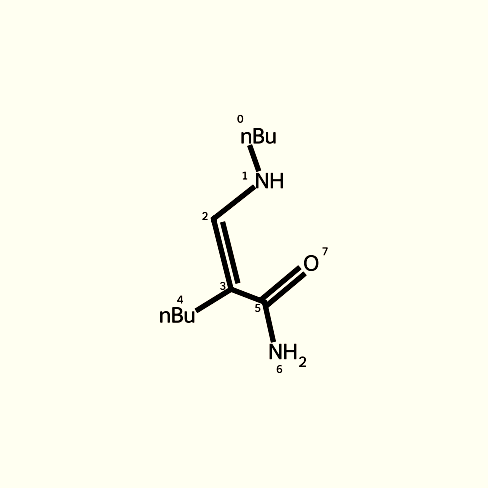 CCCCNC=C(CCCC)C(N)=O